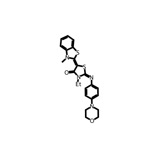 CCN1C(=O)/C(=C2/Sc3ccccc3N2C)S/C1=N/c1ccc(N2CCOCC2)cc1